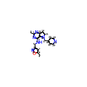 Cc1nc(NCc2cc(C)on2)c2c(ccn2Cc2ccncc2)n1